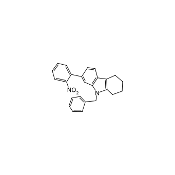 O=[N+]([O-])c1ccccc1-c1ccc2c3c(n(Cc4ccccc4)c2c1)CCCC3